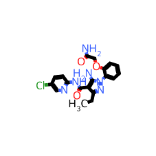 CCc1nn(-c2ccccc2OCC(N)=O)c(N)c1C(=O)Nc1ccc(Cl)cn1